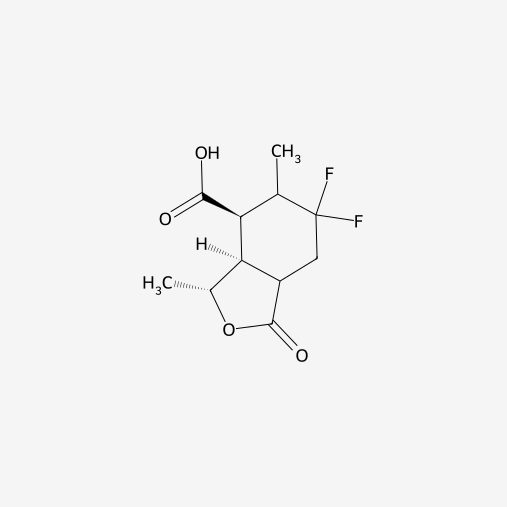 CC1[C@H](C(=O)O)[C@H]2C(CC1(F)F)C(=O)O[C@@H]2C